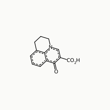 O=C(O)c1cn2c3c(cccc3c1=O)CCC2